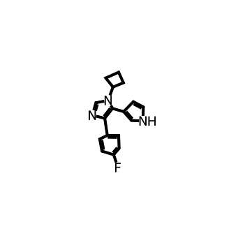 Fc1ccc(-c2ncn(C3CCC3)c2-c2cc[nH]c2)cc1